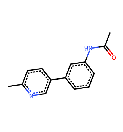 CC(=O)Nc1cccc(-c2ccc(C)nc2)c1